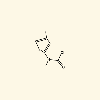 Cc1csc(N(C)C(=O)Cl)c1